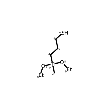 CC[O][Ti]([CH3])([CH2]CCS)[O]CC